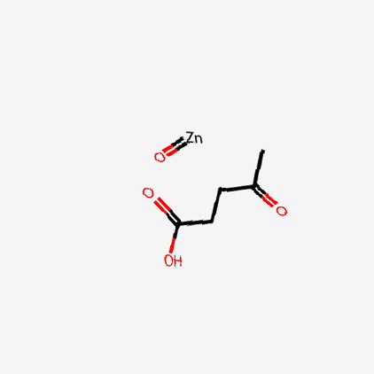 CC(=O)CCC(=O)O.[O]=[Zn]